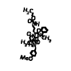 C=CCOC(=O)NCCC[C@H]1C(=O)N(C(C)c2ccccc2)C[C@H]2N1C(=O)CN(C)N2C(=O)NCc1ccc(OC)cc1